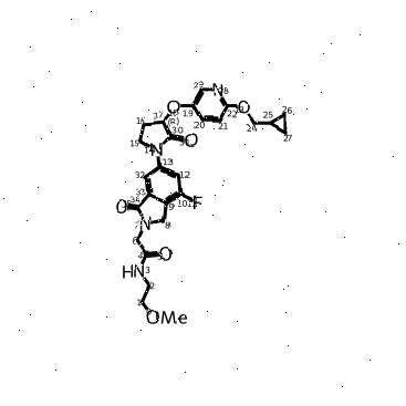 COCCNC(=O)CN1Cc2c(F)cc(N3CC[C@@H](Oc4ccc(OCC5CC5)nc4)C3=O)cc2C1=O